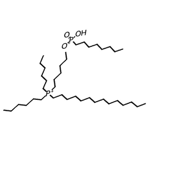 CCCCCCCCCCCCCC[P+](CCCCCC)(CCCCCC)CCCCCC.CCCCCCCCP(=O)([O-])O